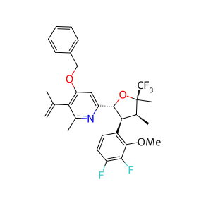 C=C(C)c1c(OCc2ccccc2)cc([C@@H]2O[C@@](C)(C(F)(F)F)[C@@H](C)[C@H]2c2ccc(F)c(F)c2OC)nc1C